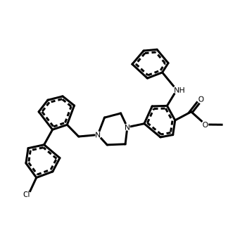 COC(=O)c1ccc(N2CCN(Cc3ccccc3-c3ccc(Cl)cc3)CC2)cc1Nc1ccccc1